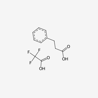 O=C(O)C(F)(F)F.O=C(O)CCc1ccccc1